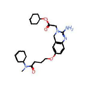 CN(C(=O)CCCOc1ccc2c(c1)CN(CC(=O)OC1CCCCC1)C(N)=N2)C1CCCCC1